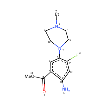 CCN1CCN(c2cc(C(=O)OC)c(N)cc2F)CC1